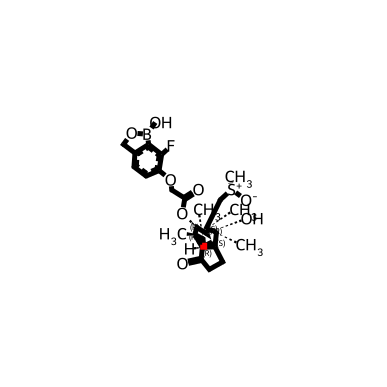 C[C@@H]1CC[C@@]23CCC(=O)[C@H]2[C@]1(C)[C@H](OC(=O)COc1ccc2c(c1F)B(O)OC2)C[C@@](C)(C[S+](C)[O-])[C@@H](O)[C@@H]3C